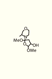 COC1OC(OC)(N2CCOCC2C)CC1O